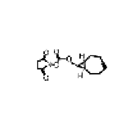 O=C(OC[C@@H]1[C@@H]2CCC#CCC[C@@H]21)ON1C(=O)CCC1=O